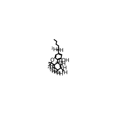 [2H]C1=C(C([2H])([2H])[2H])C([2H])([2H])C([2H])([2H])[C@]2([2H])[C@@H]1c1c(O)cc(C([2H])([2H])CCCC)cc1OC2(C)C